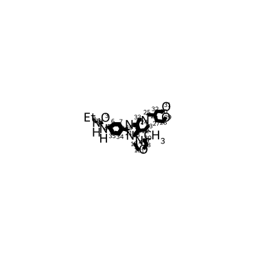 CCNC(=O)Nc1ccc(-c2nc3c(c(N4CCOC[C@@H]4C)n2)CCN(CC2CCOC(=O)C2)C3)cc1